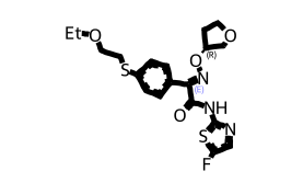 CCOCCSc1ccc(/C(=N\O[C@@H]2CCOC2)C(=O)Nc2ncc(F)s2)cc1